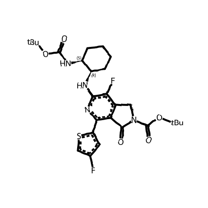 CC(C)(C)OC(=O)N[C@H]1CCCC[C@H]1Nc1nc(-c2cc(F)cs2)c2c(c1F)CN(C(=O)OC(C)(C)C)C2=O